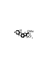 COC(=O)c1sc2c(N[C@@H]3CCN(C)C[C@@H]3F)cccc2c1SC(F)(F)F